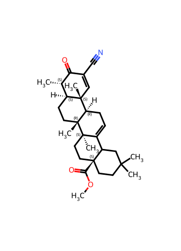 COC(=O)[C@]12CCC(C)(C)CC1C1=CC[C@@H]3[C@@]4(C)C=C(C#N)C(=O)[C@@H](C)[C@@H]4CC[C@@]3(C)[C@]1(C)CC2